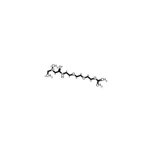 CCN(C)CC(=O)NCCOCCOCCOC(C)C